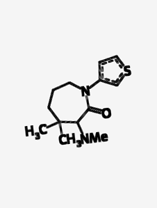 CNC1C(=O)N(c2ccsc2)CCCC1(C)C